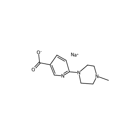 CN1CCN(c2ccc(C(=O)[O-])cn2)CC1.[Na+]